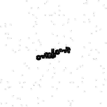 Cn1ccnc1SCCOc1ccc(C(=O)N[C@@H](Cc2ccc(OCc3ccccc3)cc2)C(=O)O)cc1